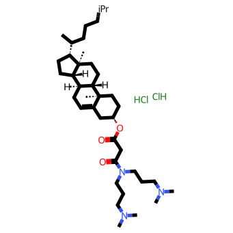 CC(C)CCCC(C)[C@H]1CC[C@H]2[C@@H]3CC=C4C[C@@H](OC(=O)CC(=O)N(CCCN(C)C)CCCN(C)C)CC[C@]4(C)[C@H]3CC[C@]12C.Cl.Cl